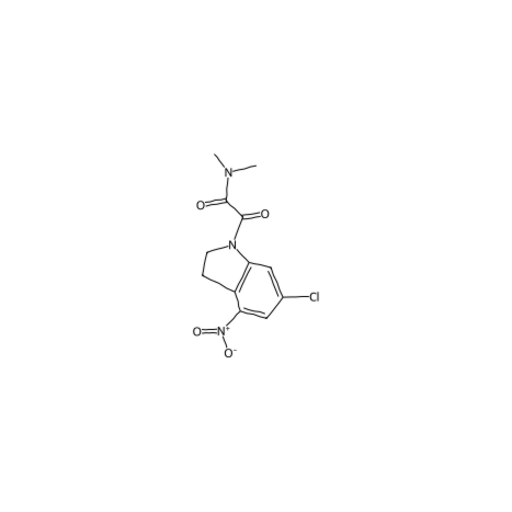 CN(C)C(=O)C(=O)N1CCc2c1cc(Cl)cc2[N+](=O)[O-]